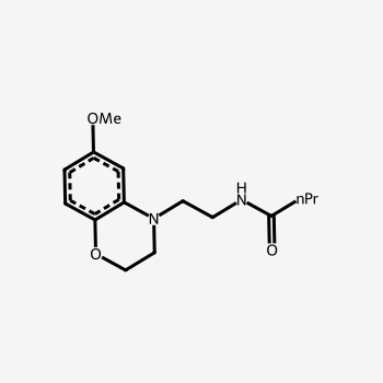 CCCC(=O)NCCN1CCOc2ccc(OC)cc21